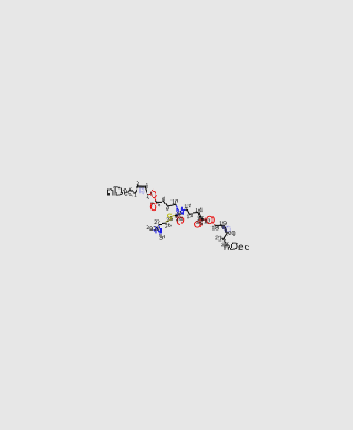 CCCCCCCCCCC/C=C\COC(=O)CCCN(CCCC(=O)OC/C=C\CCCCCCCCCCC)C(=O)SCCN(C)C